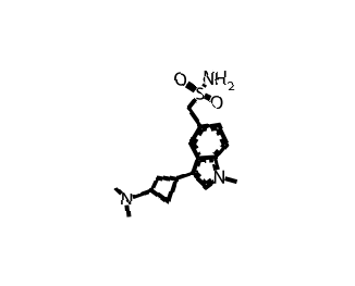 CN(C)C1CC(c2cn(C)c3ccc(CS(N)(=O)=O)cc23)C1